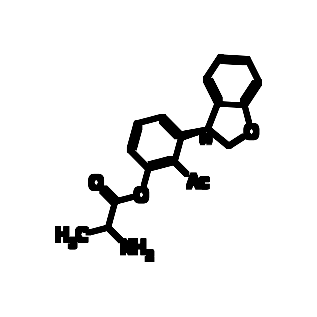 CC(=O)c1c(OC(=O)C(C)N)cccc1[C@@H]1COc2ccccc21